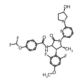 COc1cc(F)c([C@H]2C(NC(=O)c3ccc(OC(F)F)cc3)C(=O)N(c3cccc(N4CC[C@@H](O)C4)n3)[C@H]2C)c(F)c1